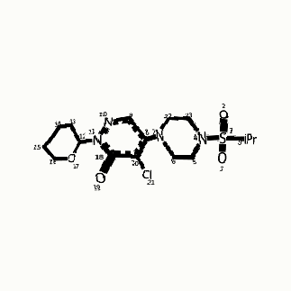 CC(C)S(=O)(=O)N1CCN(c2cnn(C3CCCCO3)c(=O)c2Cl)CC1